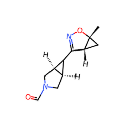 C[C@@]12C[C@@H]1C(C1[C@H]3CN(C=O)C[C@@H]13)=NO2